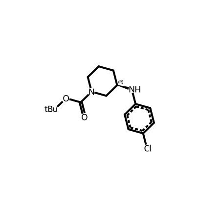 CC(C)(C)OC(=O)N1CCC[C@@H](Nc2ccc(Cl)cc2)C1